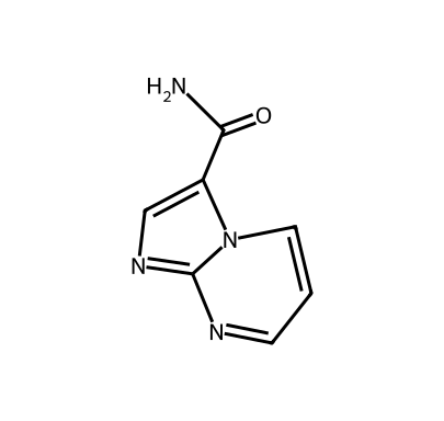 NC(=O)c1cnc2ncccn12